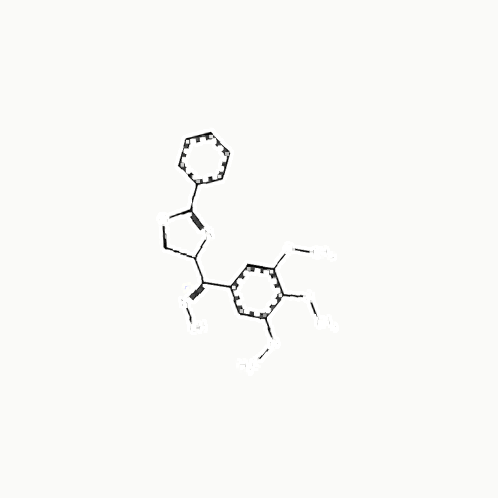 COc1cc(/C(=N\O)C2COC(c3ccccc3)=N2)cc(OC)c1OC